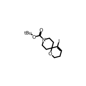 CC(C)(C)OC(=O)N1CCC2(CC1)OCCC=C2I